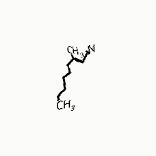 CCCCCCC(C)=CC#N